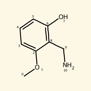 COc1cccc(O)c1CN